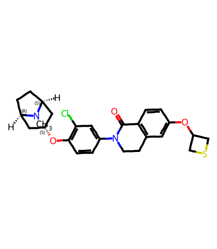 CN1[C@@H]2CC[C@H]1C[C@H](Oc1ccc(N3CCc4cc(OC5CSC5)ccc4C3=O)cc1Cl)C2